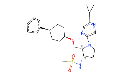 CS(=O)(=O)N[C@H]1CCN(c2cnc(C3CC3)cn2)[C@H]1CO[C@H]1CC[C@@H](c2ccccc2)CC1